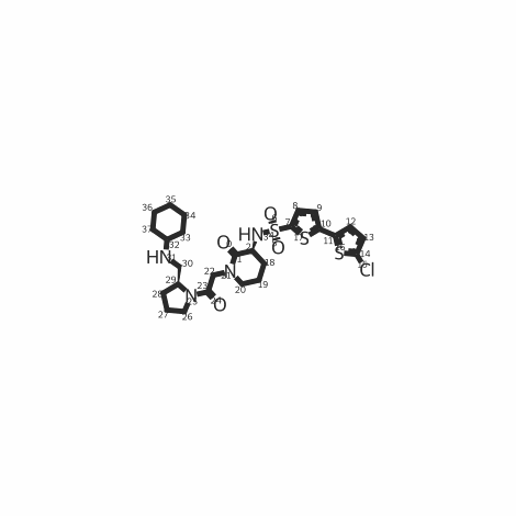 O=C1[C@@H](NS(=O)(=O)c2ccc(-c3ccc(Cl)s3)s2)CCCN1CC(=O)N1CCC[C@H]1CNC1CCCCC1